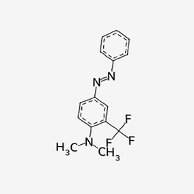 CN(C)c1ccc(N=Nc2ccccc2)cc1C(F)(F)F